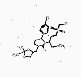 CCC(CCS(=O)(=O)CC)N1C(=O)C(CC2COC(C)(C)O2)CCC1c1ccc(Cl)cc1